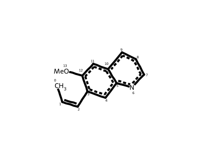 C/C=C\c1cc2ncccc2cc1OC